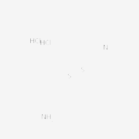 Cl.Cl.NCCSSc1ccccn1